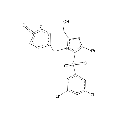 CC(C)c1nc(CO)n(Cc2ccc(=O)[nH]c2)c1S(=O)(=O)c1cc(Cl)cc(Cl)c1